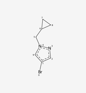 Brc1cnn(CC2CC2)c1